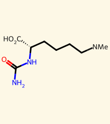 CNCCCC[C@H](NC(N)=O)C(=O)O